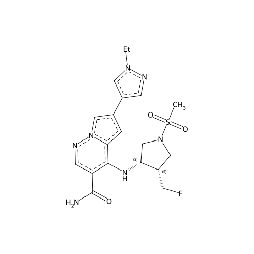 CCn1cc(-c2cc3c(N[C@@H]4CN(S(C)(=O)=O)C[C@@H]4CF)c(C(N)=O)cnn3c2)cn1